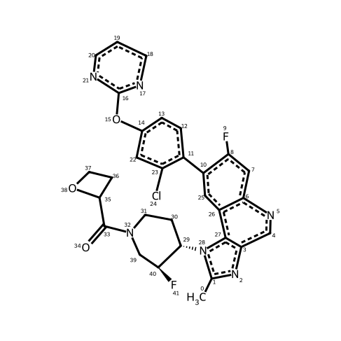 Cc1nc2cnc3cc(F)c(-c4ccc(Oc5ncccn5)cc4Cl)cc3c2n1[C@H]1CCN(C(=O)C2CCO2)C[C@@H]1F